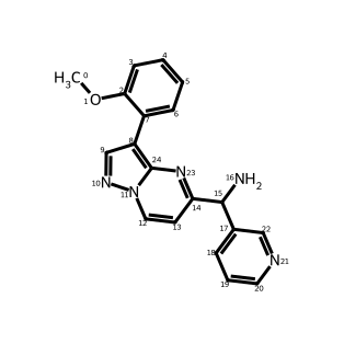 COc1ccccc1-c1cnn2ccc(C(N)c3cccnc3)nc12